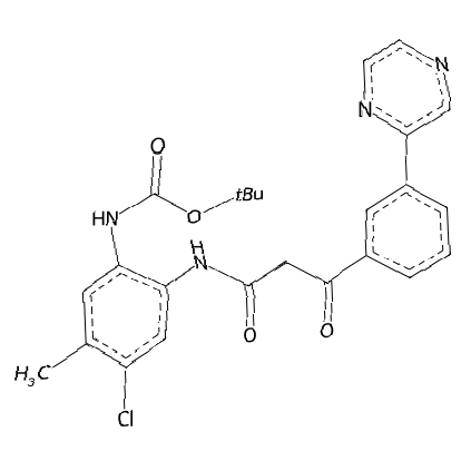 Cc1cc(NC(=O)OC(C)(C)C)c(NC(=O)CC(=O)c2cccc(-c3cnccn3)c2)cc1Cl